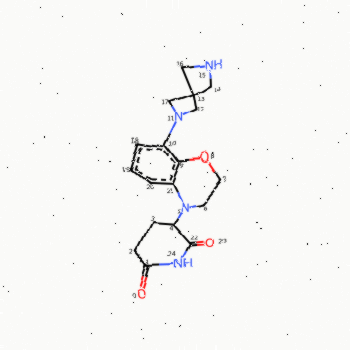 O=C1CCC(N2CCOc3c(N4CC5(CNC5)C4)cccc32)C(=O)N1